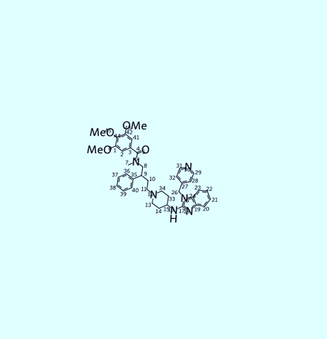 COc1cc(C(=O)N(C)CC(CCN2CCC(Nc3nc4ccccc4n3Cc3ccncc3)CC2)c2ccccc2)cc(OC)c1OC